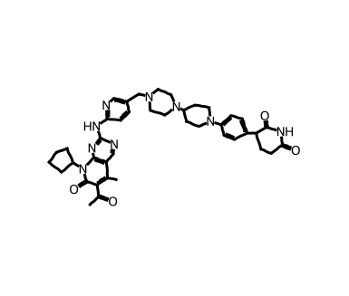 CC(=O)c1c(C)c2cnc(Nc3ccc(CN4CCN(C5CCN(c6ccc(C7CCC(=O)NC7=O)cc6)CC5)CC4)cn3)nc2n(C2CCCC2)c1=O